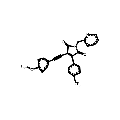 O=C1C(C#Cc2ccc(OC(F)(F)F)cc2)=C(c2ccc(C(F)(F)F)cc2)C(=O)N1Cc1ccccn1